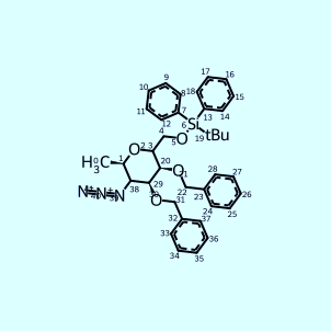 C[C@H]1OC(CO[Si](c2ccccc2)(c2ccccc2)C(C)(C)C)[C@@H](OCc2ccccc2)[C@@H](OCc2ccccc2)C1N=[N+]=[N-]